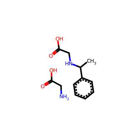 CC(NCC(=O)O)c1ccccc1.NCC(=O)O